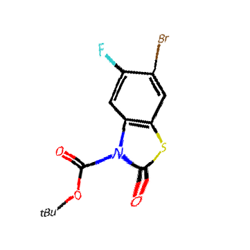 CC(C)(C)OC(=O)n1c(=O)sc2cc(Br)c(F)cc21